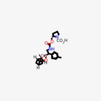 Cc1ccc(C(CNC(=O)OC[C@H]2CCCN2C(=O)O)B2O[C@@H]3C[C@@H]4C[C@@H](C4(C)C)[C@]3(C)O2)cc1